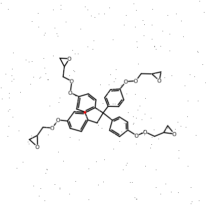 c1cc(OOCC2CO2)ccc1CC(c1ccc(OOCC2CO2)cc1)(c1ccc(OOCC2CO2)cc1)c1ccc(OOCC2CO2)cc1